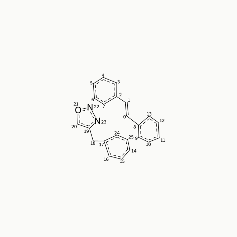 C(=Cc1ccccc1)c1ccccc1.c1ccc(Cc2conn2)cc1